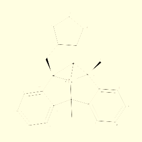 CC12c3ccccc3[C@@]3(C)C4[C@@](CC5CCCC5)(c5ccccc51)[N+]423